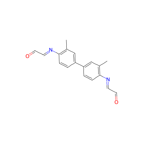 Cc1cc(-c2ccc(N=CC=O)c(C)c2)ccc1N=CC=O